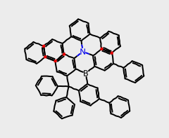 c1ccc(-c2ccc3c(c2)B2c4cc(-c5ccccc5)ccc4C(c4ccccc4)(c4ccccc4)c4cc(-c5ccccc5)cc(c42)N3c2c(-c3ccccc3)cccc2-c2ccccc2)cc1